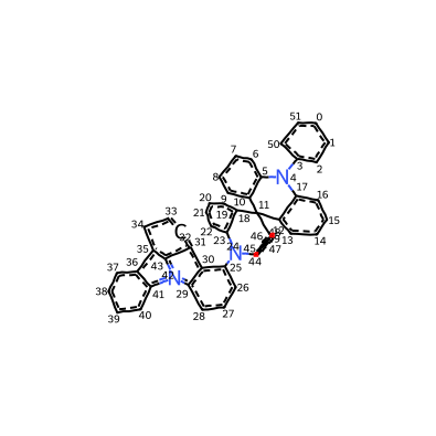 c1ccc(N2c3ccccc3C3(c4ccccc42)c2ccccc2N(c2cccc4c2c2cccc5c6ccccc6n4c52)c2ccccc23)cc1